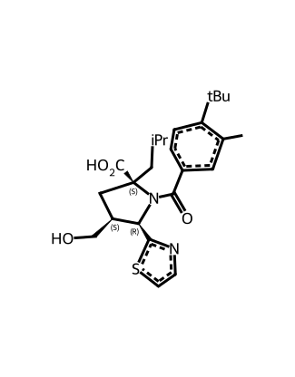 Cc1cc(C(=O)N2[C@@H](c3nccs3)[C@@H](CO)C[C@@]2(CC(C)C)C(=O)O)ccc1C(C)(C)C